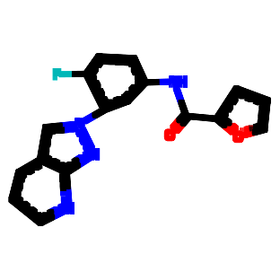 O=C(Nc1ccc(F)c(-n2cc3cccnc3n2)c1)c1ccco1